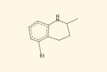 CCc1cccc2c1CCC(C)N2